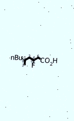 CCCC[C@@H](C)C[C@@H](F)CC(=O)O